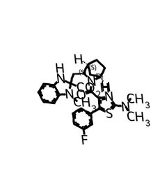 CN(C)c1nc(C(=O)N2[C@@H]3CC[C@@H](C3)[C@@H]2CC2(C(=O)O)Nc3ccccc3N2C)c(-c2cccc(F)c2)s1